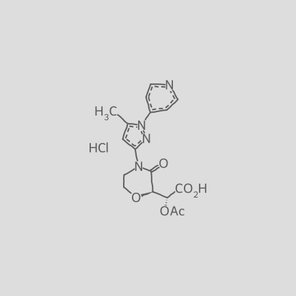 CC(=O)O[C@@H](C(=O)O)[C@H]1OCCN(c2cc(C)n(-c3ccncc3)n2)C1=O.Cl